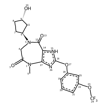 CN1C(=O)CN([C@H]2CC[C@H](O)C2)C(=O)c2[nH]c(Oc3cccc(OC(F)(F)F)c3)nc21